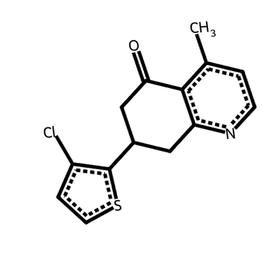 Cc1ccnc2c1C(=O)CC(c1sccc1Cl)C2